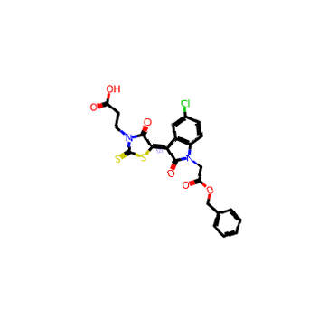 O=C(O)CCN1C(=O)/C(=C2/C(=O)N(CC(=O)OCc3ccccc3)c3ccc(Cl)cc32)SC1=S